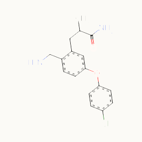 CC(Cc1cc(Oc2ccc(Cl)cc2)ccc1CN)C(N)=O